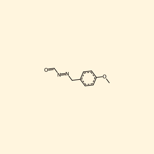 COc1ccc(CN=NC=O)cc1